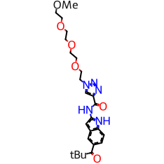 COCCOCCOCCOCCn1cc(C(=O)Nc2cc3cc(C(=O)C(C)(C)C)ccc3[nH]2)nn1